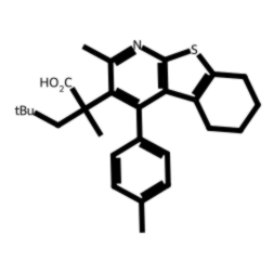 Cc1ccc(-c2c(C(C)(CC(C)(C)C)C(=O)O)c(C)nc3sc4c(c23)CCCC4)cc1